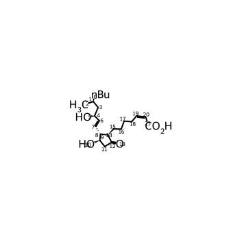 CCCC[C@H](C)C[C@H](O)/C=C/[C@H]1[C@H](O)CC(=O)[C@@H]1CCCC/C=C\C(=O)O